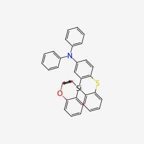 c1ccc(N(c2ccccc2)c2ccc3c(c2)[Si]2(c4ccccc4Oc4ccccc42)c2ccccc2S3)cc1